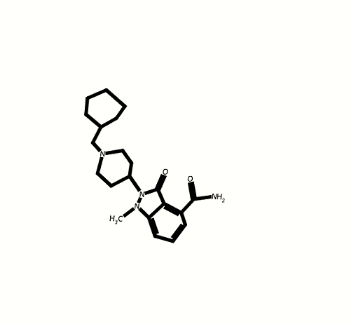 Cn1c2cccc(C(N)=O)c2c(=O)n1C1CCN(CC2CCCCC2)CC1